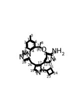 Cc1ccc2c(c1)[C@@H](C)Oc1cc(cnc1N)-c1c(cnn1C1CCC1)Cc1cnnn1-2